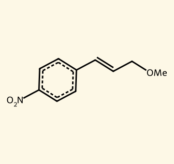 COCC=Cc1ccc([N+](=O)[O-])cc1